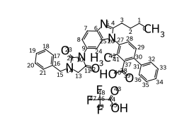 CCCCc1nc2ccc(N3C(=O)CN(Cc4ccccc4)C3=O)cc2n1-c1ccc(-c2ccccc2)c(C(=O)O)c1C.O=C(O)C(F)(F)F